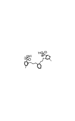 Cc1ccc(S(=O)(=O)O)c(CCCc2ccccc2CCCc2cc(C)ccc2S(=O)(=O)O)c1